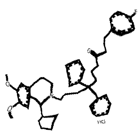 COc1cc2c(cc1OC)C(C1CCCC1)N(CCCC(CCCC(=O)CCc1ccc(F)cc1)(c1ccccc1)c1ccccc1)CC2.Cl